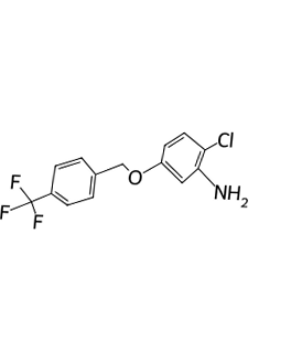 Nc1cc(OCc2ccc(C(F)(F)F)cc2)ccc1Cl